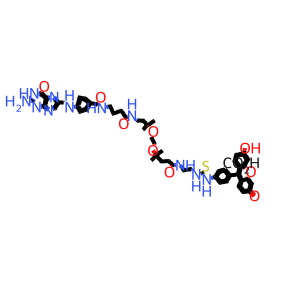 CC(C)(CCNC(=O)CCCNC(=O)c1ccc(NCc2cnc3nc(N)[nH]c(=O)c3n2)cc1)OCCOC(C)(C)CCC(=O)NCCNC(=S)Nc1ccc(-c2c3ccc(=O)cc-3oc3cc(O)ccc23)c(C(=O)O)c1